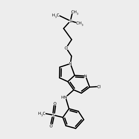 C[Si](C)(C)CCOCn1ccc2c(Nc3ccccc3S(C)(=O)=O)cc(Cl)nc21